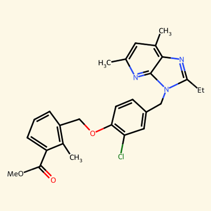 CCc1nc2c(C)cc(C)nc2n1Cc1ccc(OCc2cccc(C(=O)OC)c2C)c(Cl)c1